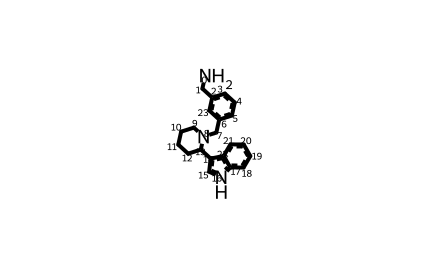 NCc1cccc(CN2CCCCC2c2c[nH]c3ccccc23)c1